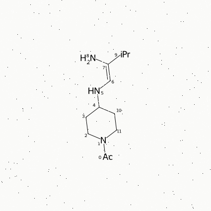 CC(=O)N1CCC(N/C=C(\N)C(C)C)CC1